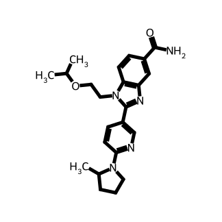 CC(C)OCCn1c(-c2ccc(N3CCCC3C)nc2)nc2cc(C(N)=O)ccc21